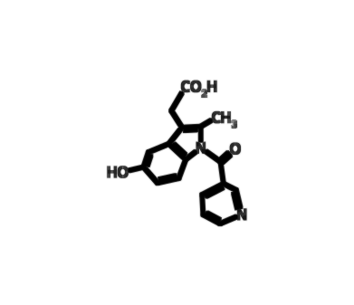 Cc1c(CC(=O)O)c2cc(O)ccc2n1C(=O)c1cccnc1